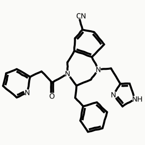 N#Cc1ccc2c(c1)CN(C(=O)Cc1ccccn1)C(Cc1ccccc1)CN2Cc1c[nH]cn1